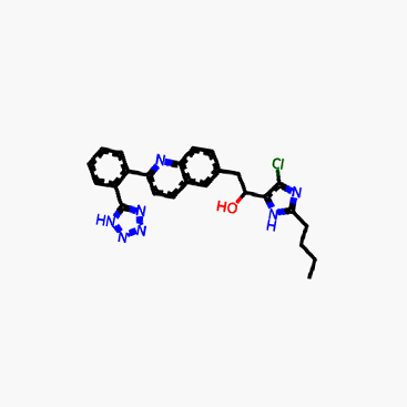 CCCCc1nc(Cl)c(C(O)Cc2ccc3nc(-c4ccccc4-c4nnn[nH]4)ccc3c2)[nH]1